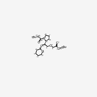 CC(C)(C)OC(=O)COCC(OC1CCCCO1)[C@@H]1CCCN1C(=O)OC(C)(C)C